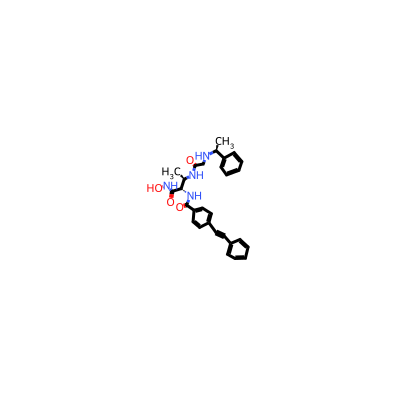 C[C@H](NCC(=O)N[C@H](C)[C@H](NC(=O)c1ccc(C#Cc2ccccc2)cc1)C(=O)NO)c1ccccc1